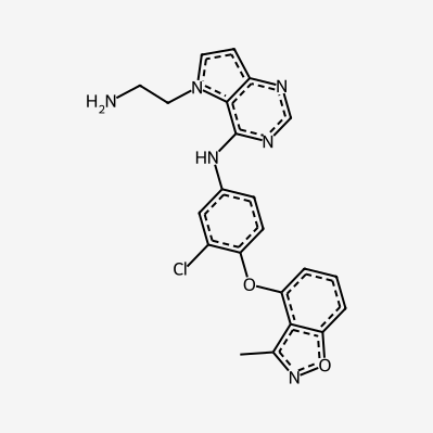 Cc1noc2cccc(Oc3ccc(Nc4ncnc5ccn(CCN)c45)cc3Cl)c12